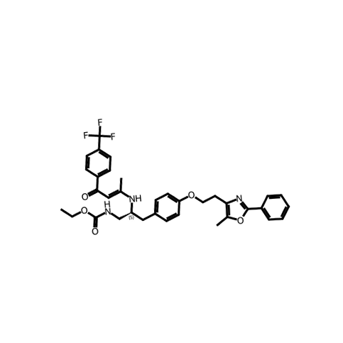 CCOC(=O)NC[C@H](Cc1ccc(OCCc2nc(-c3ccccc3)oc2C)cc1)NC(C)=CC(=O)c1ccc(C(F)(F)F)cc1